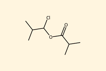 CC(C)C(=O)OC(Cl)C(C)C